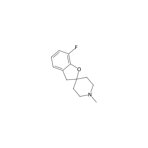 CN1CCC2(CC1)Cc1cccc(F)c1O2